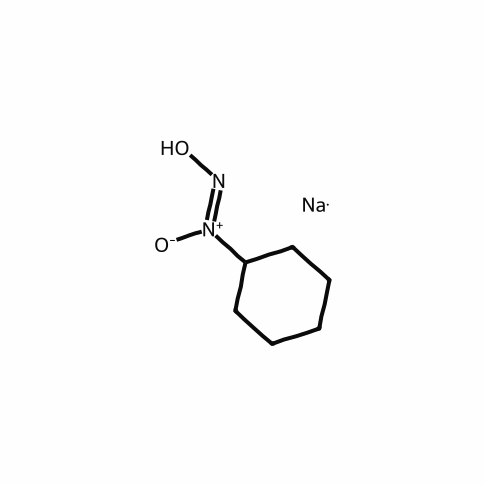 [Na].[O-][N+](=NO)C1CCCCC1